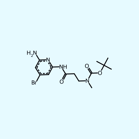 CN(CCC(=O)Nc1cc(Br)cc(N)n1)C(=O)OC(C)(C)C